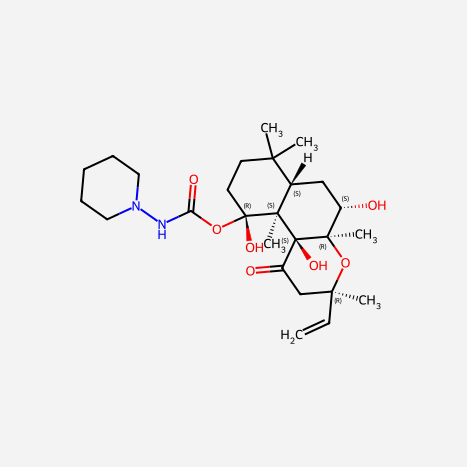 C=C[C@@]1(C)CC(=O)[C@]2(O)[C@]3(C)[C@@H](C[C@H](O)[C@@]2(C)O1)C(C)(C)CC[C@@]3(O)OC(=O)NN1CCCCC1